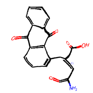 NC(=O)/C=C(/C(=O)O)c1cccc2c1C(=O)c1ccccc1C2=O